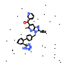 CCCCc1nc2cc(C(=O)c3cccnc3)c(C)nc2n1Cc1ccc(-c2ccccc2-c2nnn[nH]2)cc1